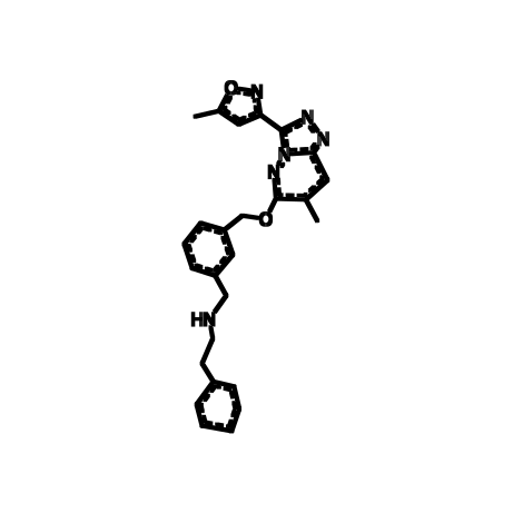 Cc1cc(-c2nnc3cc(C)c(OCc4cccc(CNCCc5ccccc5)c4)nn23)no1